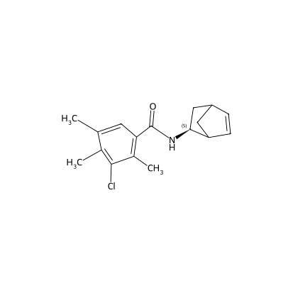 Cc1cc(C(=O)N[C@H]2CC3C=CC2C3)c(C)c(Cl)c1C